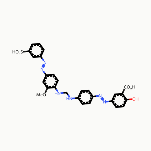 COc1cc(N=Nc2cccc(S(=O)(=O)O)c2)ccc1NCNc1ccc(N=Nc2ccc(O)c(C(=O)O)c2)cc1